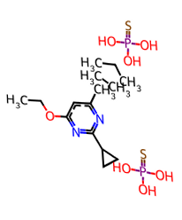 CC.CCC.CCOc1cc(C)nc(C2CC2)n1.OP(O)(O)=S.OP(O)(O)=S